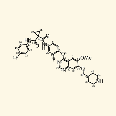 COc1cc2c(Oc3ccc(NC(=O)C4(C(=O)Nc5ccc(F)cc5)CC4)cc3F)ncnc2cc1OCC1CCNCC1